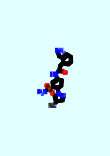 N#Cc1cnn(-c2ccc(NC(=O)Cc3ccccc3CN)cc2S(N)(=O)=O)c1